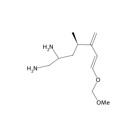 C=C(/C=C/OCOC)[C@H](C)CC(N)CN